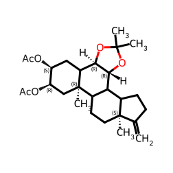 C=C1CCC2C3C(CC[C@]12C)[C@@]1(C)C[C@@H](OC(C)=O)[C@@H](OC(C)=O)CC1[C@H]1OC(C)(C)O[C@H]31